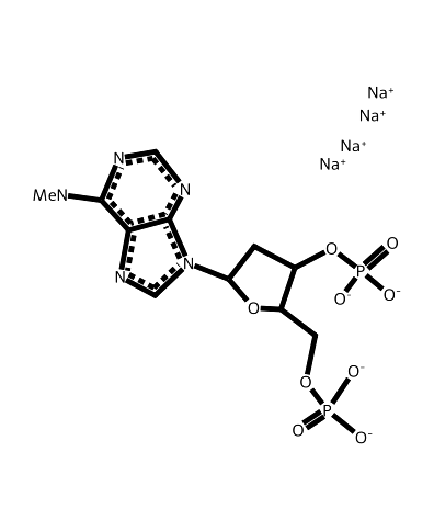 CNc1ncnc2c1ncn2C1CC(OP(=O)([O-])[O-])C(COP(=O)([O-])[O-])O1.[Na+].[Na+].[Na+].[Na+]